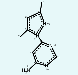 Cc1cc(C)n(-c2cc(N)ncn2)n1